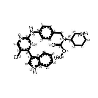 CC(C)(C)OC(=O)N(Cc1ccc(Nc2ncc(Cl)c(-c3c[nH]c4ccccc34)n2)cc1)[C@@H]1CCCNC1